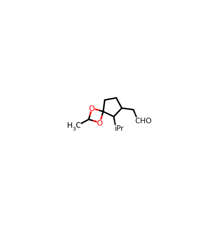 CC1OC2(CCC(CC=O)C2C(C)C)O1